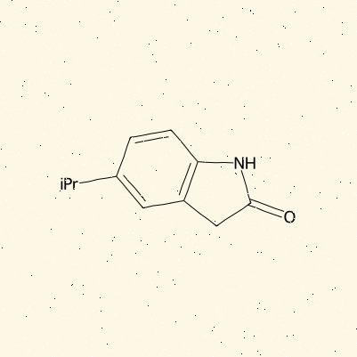 CC(C)c1ccc2c(c1)CC(=O)N2